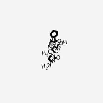 C[C@]1(N=[N+]=[N-])[C@H](n2ccc(N)nc2=O)O[C@](F)(CO)[C@H]1OC(=O)c1ccccc1